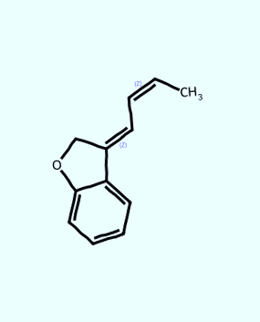 C/C=C\C=C1/COc2ccccc21